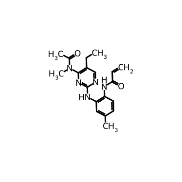 C=CC(=O)Nc1ccc(C)cc1Nc1ncc(CC)c(N(C)C(C)=O)n1